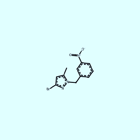 Cc1cc(Br)nn1Cc1cccc([N+](=O)[O-])c1